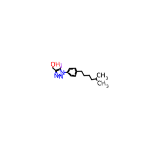 CC(C)CCCCc1ccc(-n2nnc(CO)c2I)cc1